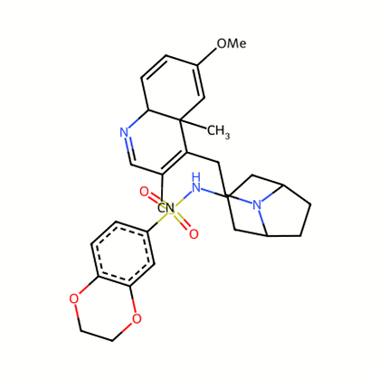 COC1=CC2(C)C(CCN3C4CCC3CC(NS(=O)(=O)c3ccc5c(c3)OCCO5)C4)=C(C#N)C=NC2C=C1